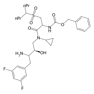 CCCC(CCC)S(=O)(=O)CC(NC(=O)OCc1ccccc1)C(=O)N(C[C@@H](O)C(N)Cc1cc(F)cc(F)c1)C1CC1